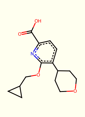 O=C(O)c1ccc(C2CCOCC2)c(OCC2CC2)n1